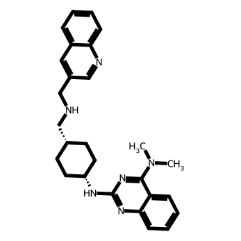 CN(C)c1nc(N[C@H]2CC[C@@H](CNCc3cnc4ccccc4c3)CC2)nc2ccccc12